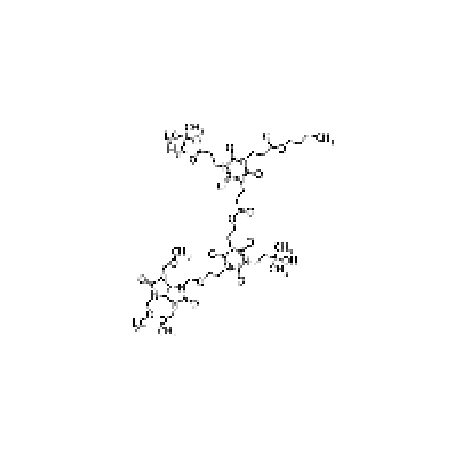 CCCCOC(=O)CCn1c(=O)n(CCC(=O)OCCn2c(=O)n(CCOCN3C(=O)N(COC)C4C3N(COC)C(=O)N4COC)c(=O)n(CCC(C)(C)O)c2=O)c(=O)n(CCC(=O)OC(C)(C)C)c1=O